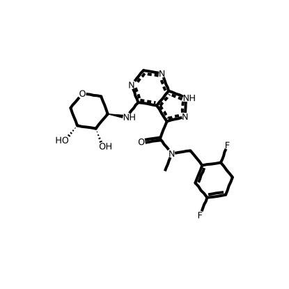 CN(CC1=CC(F)=CCC1F)C(=O)c1n[nH]c2ncnc(N[C@@H]3COC[C@@H](O)[C@H]3O)c12